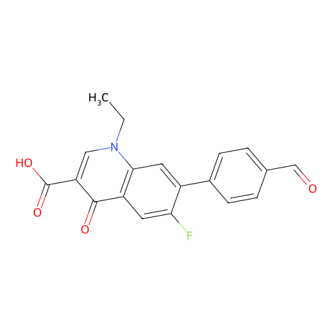 CCn1cc(C(=O)O)c(=O)c2cc(F)c(-c3ccc(C=O)cc3)cc21